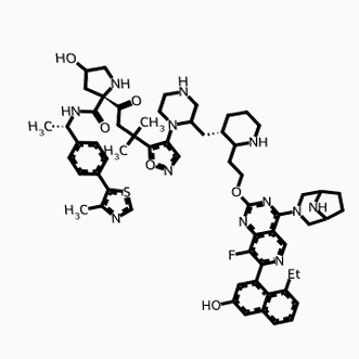 CCc1cccc2cc(O)cc(-c3ncc4c(N5CC6CCC(C5)N6)nc(OCCC5NCCC[C@H]5CC5CNCCN5c5cnoc5C(C)(C)CC(=O)[C@@]5(C(=O)N[C@@H](C)c6ccc(-c7scnc7C)cc6)CC(O)CN5)nc4c3F)c12